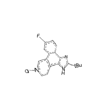 CC(C)(C)c1nc2c3ccc(F)cc3c3c[n+]([O-])ccc3c2[nH]1